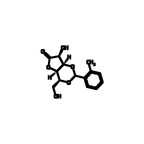 Cc1ccccc1C1O[C@H]2[C@H](OC(=O)[C@H]2O)[C@H](CO)O1